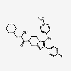 Cc1ccc(Nc2c(-c3ccc(F)cc3)nc3n2CCN(C(=O)C(O)CC2CCCCC2)C3)cc1